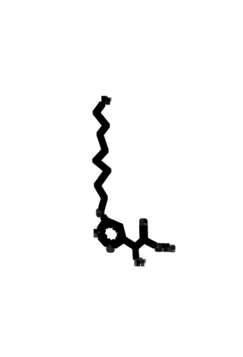 COC(=O)C(c1cc(OCCCCCCCCBr)no1)C(C)C